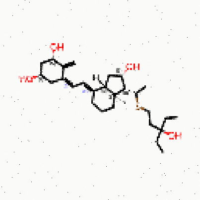 C=C1/C(=C\C=C2/CCC[C@@]3(C)[C@H]2C[C@H](O)[C@@H]3C(C)SCCC(O)(CC)CC)C[C@@H](O)C[C@@H]1O